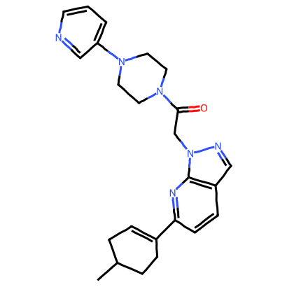 CC1CC=C(c2ccc3cnn(CC(=O)N4CCN(c5cccnc5)CC4)c3n2)CC1